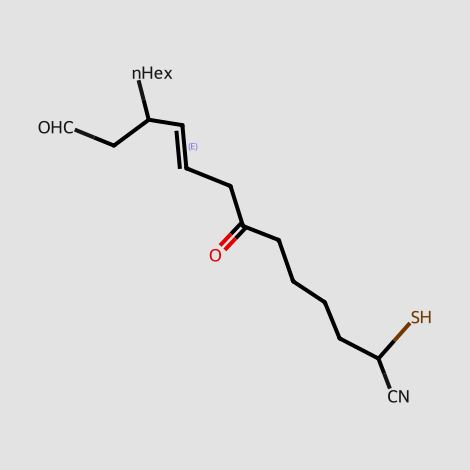 CCCCCCC(/C=C/CC(=O)CCCCC(S)C#N)CC=O